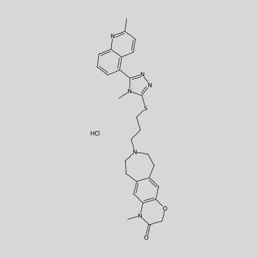 Cc1ccc2c(-c3nnc(SCCCN4CCc5cc6c(cc5CC4)N(C)C(=O)CO6)n3C)cccc2n1.Cl